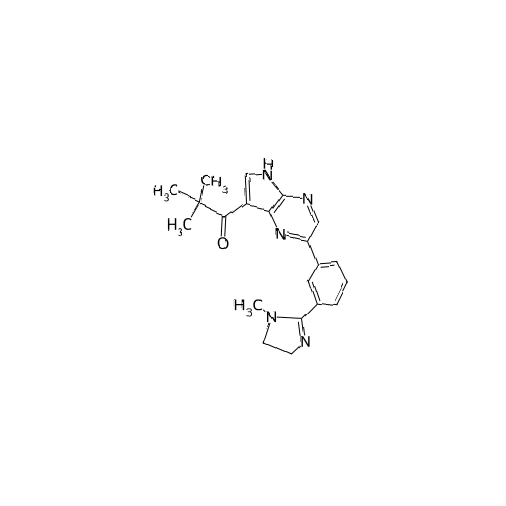 CN1CCN=C1c1cccc(-c2cnc3[nH]cc(C(=O)C(C)(C)C)c3n2)c1